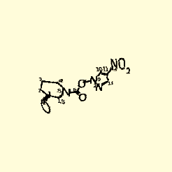 O=C1CCCN(C(=O)On2cc([N+](=O)[O-])cn2)C1